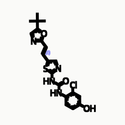 CC(C)(C)c1cnc(/C=C/c2cnc(NC(=O)Nc3ccc(O)cc3Cl)s2)o1